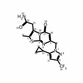 Cc1sc2nc(Cn3nc(C(F)(F)F)cc3C3CC3)cc(=O)n2c1CC(N)=O